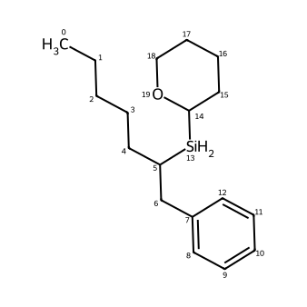 CCCCCC(Cc1ccccc1)[SiH2]C1CCCCO1